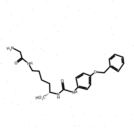 NCC(=O)NCCCC[C@H](NC(=O)Nc1ccc(OCc2ccccc2)cc1)C(=O)O